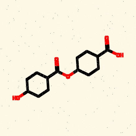 O=C(O)C1CCC(OC(=O)C2CCC(O)CC2)CC1